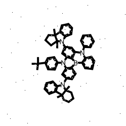 CC(C)(C)c1ccc(N2c3cc(N4c5ccccc5C5(C)CCCCC45C)ccc3B3c4ccccc4N(c4ccccc4)c4cc(N5c6ccccc6C6(C)CCCC56C)cc2c43)cc1